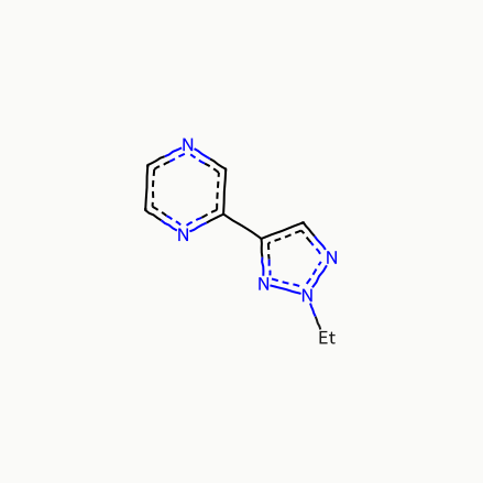 CCn1ncc(-c2cnccn2)n1